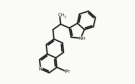 CC(C)c1cncc2cc(CC(C)c3c[nH]c4ccccc34)ccc12